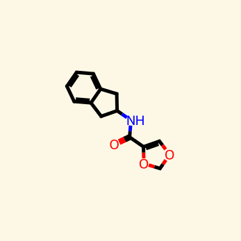 O=C(NC1Cc2ccccc2C1)C1=COCO1